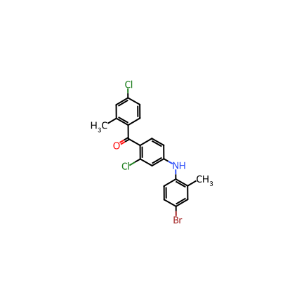 Cc1cc(Br)ccc1Nc1ccc(C(=O)c2ccc(Cl)cc2C)c(Cl)c1